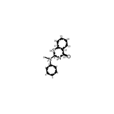 CN(c1ccccc1)c1nc(=O)c2ccccc2s1